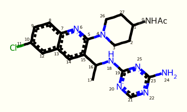 CC(=O)NC1CCN(c2nc3ccc(Cl)cc3cc2C(C)Nc2ncnc(N)n2)CC1